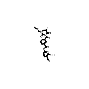 CCOCn1cc(F)c(=O)n(C(=O)c2cccc(C(=O)Oc3ccc(C#N)c(O)n3)c2)c1=O